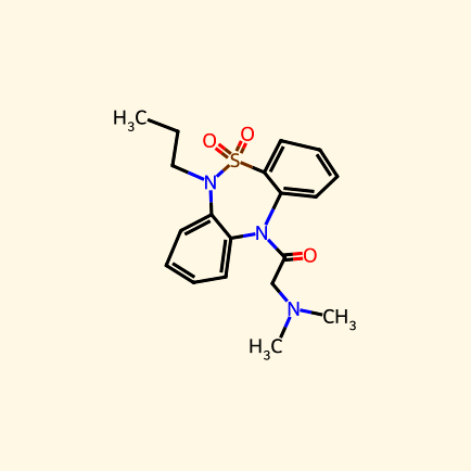 CCCN1c2ccccc2N(C(=O)CN(C)C)c2ccccc2S1(=O)=O